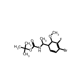 COC1C(F)=C(Br)C=CC1C(C)NC(=O)OC(C)(C)C